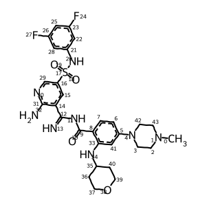 CN1CCN(c2ccc(C(=O)NC(=N)c3cc(S(=O)(=O)Nc4cc(F)cc(F)c4)cnc3N)c(NC3CCOCC3)c2)CC1